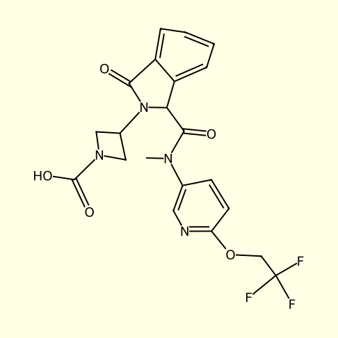 CN(C(=O)C1c2ccccc2C(=O)N1C1CN(C(=O)O)C1)c1ccc(OCC(F)(F)F)nc1